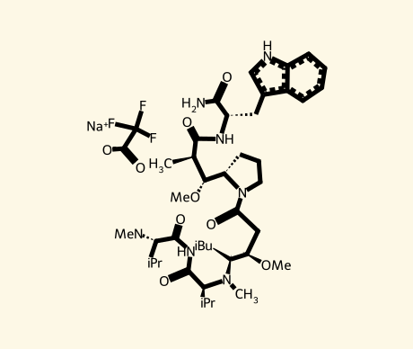 CC[C@H](C)[C@@H]([C@@H](CC(=O)N1CCC[C@H]1[C@H](OC)[C@@H](C)C(=O)N[C@@H](Cc1c[nH]c2ccccc12)C(N)=O)OC)N(C)[C@H](C(=O)NC(=O)[C@@H](NC)C(C)C)C(C)C.O=C([O-])C(F)(F)F.[Na+]